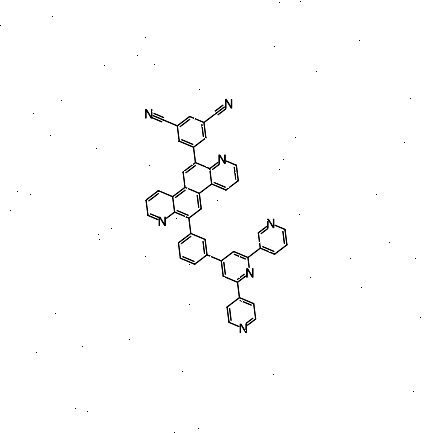 N#Cc1cc(C#N)cc(-c2cc3c4cccnc4c(-c4cccc(-c5cc(-c6ccncc6)nc(-c6cccnc6)c5)c4)cc3c3cccnc23)c1